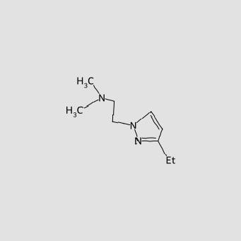 CCc1ccn(CCN(C)C)n1